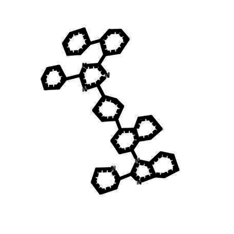 c1ccc(-c2nc(-c3ccc(-c4ccc(-n5c(-c6ccccn6)nc6ccccc65)c5ccccc45)cc3)nc(-c3ccccc3-c3ccccc3)n2)cc1